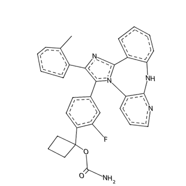 Cc1ccccc1-c1nc2n(c1-c1ccc(C3(OC(N)=O)CCC3)c(F)c1)-c1cccnc1Nc1ccccc1-2